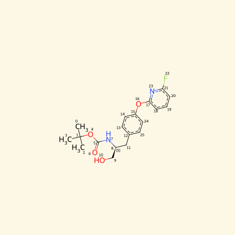 CC(C)(C)OC(=O)N[C@H](CO)Cc1ccc(Oc2cccc(F)n2)cc1